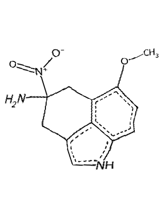 COc1ccc2[nH]cc3c2c1CC(N)([N+](=O)[O-])C3